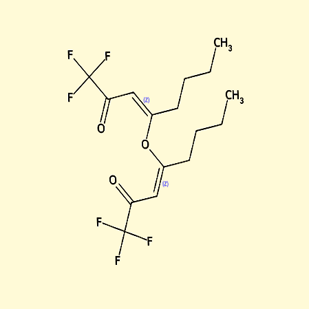 CCCC/C(=C/C(=O)C(F)(F)F)O/C(=C\C(=O)C(F)(F)F)CCCC